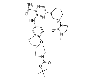 CN1CCN([C@@H]2CCCN(c3cnc(C(N)=O)c(Nc4ccc5c(c4)CCC4(CCN(C(=O)OC(C)(C)C)CC4)O5)n3)C2)C1=O